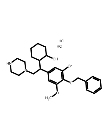 COc1cc(C(CN2CCNCC2)C2CCCCC2O)cc(Br)c1OCc1ccccc1.Cl.Cl